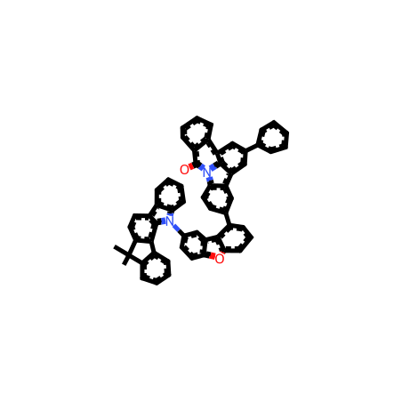 CC1(C)c2ccccc2-c2c1ccc1c3ccccc3n(-c3ccc4oc5cccc(-c6ccc7c(c6)c6cc(-c8ccccc8)cc8c9ccccc9c(=O)n7c86)c5c4c3)c21